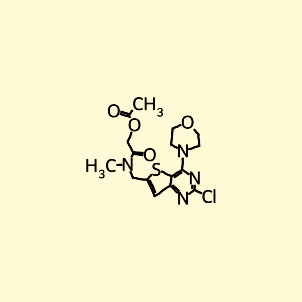 CC(=O)OCC(=O)N(C)Cc1cc2nc(Cl)nc(N3CCOCC3)c2s1